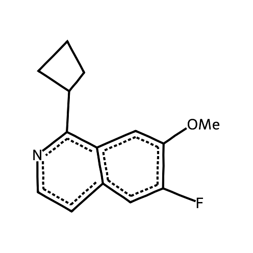 COc1cc2c(C3CCC3)nccc2cc1F